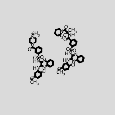 COc1ccc(Cl)c(Nc2nc3ccccc3nc2NS(=O)(=O)c2cccc(C(=O)N3CCN(C)CC3)c2)c1.COc1ccc(Cl)c(Nc2nc3ccccc3nc2NS(=O)(=O)c2cccc(C(=O)NC(C)(C)C(=O)N3CCCCC3)c2)c1